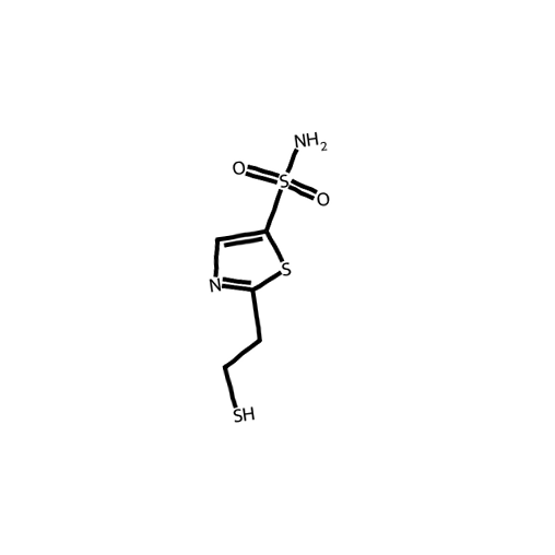 NS(=O)(=O)c1cnc(CCS)s1